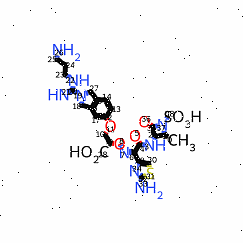 CC1C(NC(=O)/C(=N\OC(COc2ccc3c(c2)CN(C(=N)NCCCN)C3)C(=O)O)c2csc(N)n2)C(=O)N1S(=O)(=O)O